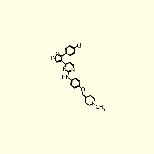 CN1CCC(COc2ccc(Nc3nccc(-c4c[nH]nc4-c4ccc(Cl)cc4)n3)cc2)CC1